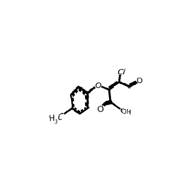 Cc1ccc(O/C(C(=O)O)=C(\Cl)C=O)cc1